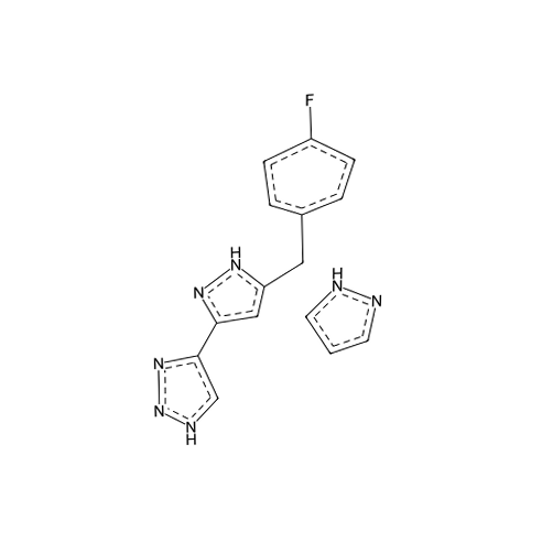 Fc1ccc(Cc2cc(-c3c[nH]nn3)n[nH]2)cc1.c1cn[nH]c1